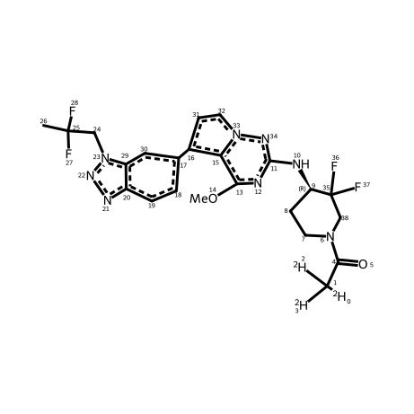 [2H]C([2H])([2H])C(=O)N1CC[C@@H](Nc2nc(OC)c3c(-c4ccc5nnn(CC(C)(F)F)c5c4)ccn3n2)C(F)(F)C1